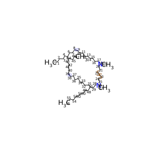 CCCCCCCC/C=C\CCCCCCCCN(C)CCSSCCN(C)CCC(CCCCCCC/C=C\CCCCCCCC)CCCCCCCCC